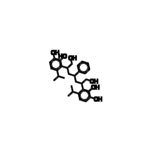 CC(C)c1ccc(O)c(O)c1C(CO)CC(CC(CO)c1c(C(C)C)ccc(O)c1O)c1ccccc1